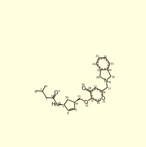 CC(C)CC(=O)N[C@@H]1C=C[C@H](COc2coc(CN3Cc4ccccc4C3)cc2=O)C1